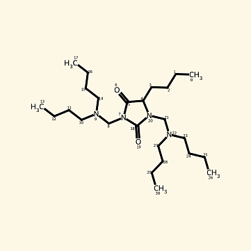 CCCCC1C(=O)N(CN(CCCC)CCCC)C(=O)N1CN(CCCC)CCCC